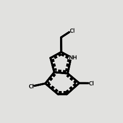 ClCc1cc2c(Cl)ccc(Cl)c2[nH]1